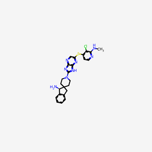 CNc1nccc(Sc2cnc3nc(N4CCC5(CC4)Cc4ccccc4[C@H]5N)[nH]c3n2)c1Cl